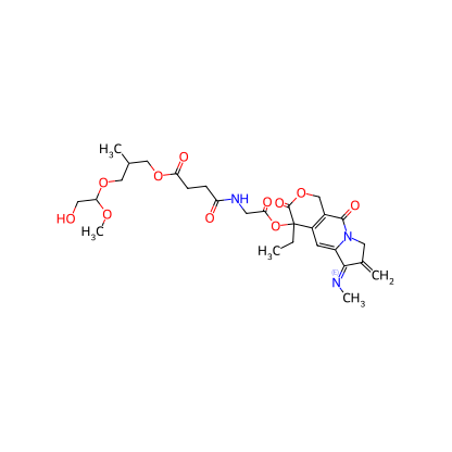 C=C1Cn2c(cc3c(c2=O)COC(=O)C3(CC)OC(=O)CNC(=O)CCC(=O)OCC(C)COC(CO)OC)/C1=N/C